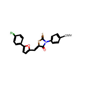 COc1ccc(N2C(=O)C(=Cc3ccc(-c4ccc(Br)cc4)o3)SC2=S)cc1